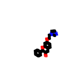 O=C1Cc2ccc(OCCn3ccnc3)cc2OC1c1ccccc1